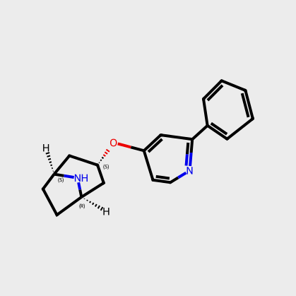 c1ccc(-c2cc(O[C@@H]3C[C@H]4CC[C@@H](C3)N4)ccn2)cc1